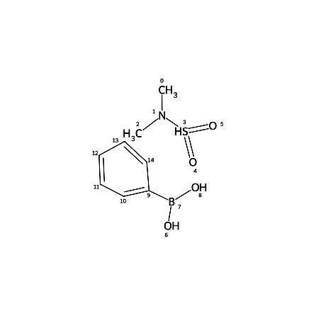 CN(C)[SH](=O)=O.OB(O)c1ccccc1